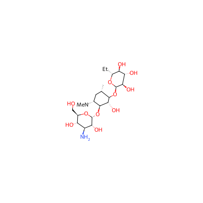 CC[C@H]1O[C@H](OC2[C@@H](C)C[C@@H](NC)[C@H](O[C@H]3O[C@H](CO)[C@@H](O)[C@H](N)[C@H]3O)[C@H]2O)[C@H](O)[C@@H](O)[C@@H]1O